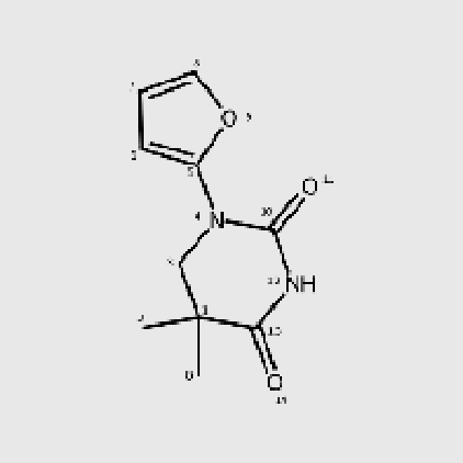 CC1(C)CN(c2ccco2)C(=O)NC1=O